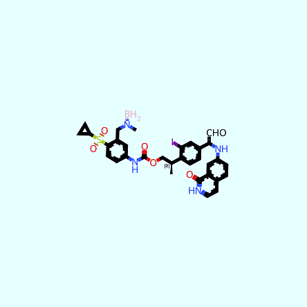 BN(C)Cc1cc(NC(=O)OC[C@H](C)c2ccc(C(C=O)Nc3ccc4cc[nH]c(=O)c4c3)cc2I)ccc1S(=O)(=O)C1CC1